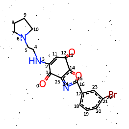 O=C1C(NCCN2CCCC2)=CC(=O)c2oc(-c3cccc(Br)c3)nc21